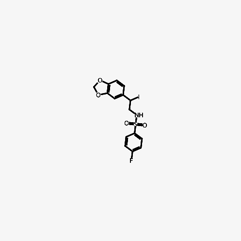 O=S(=O)(NCC(I)c1ccc2c(c1)OCO2)c1ccc(F)cc1